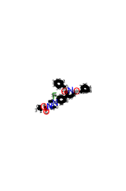 CC(C)(C)OC(=O)N1CCN(c2ccc(-c3ccc(OCc4ccccc4)nc3OCc3ccccc3)cc2F)CC1